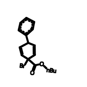 CCCCOC(=O)C1(Br)C=CC(c2ccccc2)C=C1